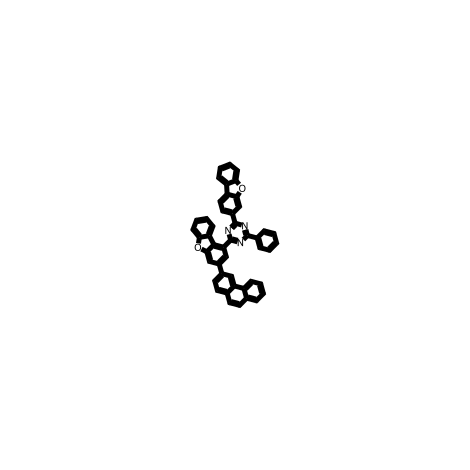 c1ccc(-c2nc(-c3ccc4c(c3)oc3ccccc34)nc(-c3cc(-c4ccc5ccc6ccccc6c5c4)cc4oc5ccccc5c34)n2)cc1